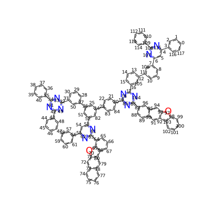 c1ccc(-c2cc(-c3cccc(-c4cccc(-c5nc(-c6ccc(-c7cc(-c8cccc(-c9nc(-c%10ccccc%10)nc(-c%10ccccc%10)n9)c8)cc(-c8cc(-c9ccccc9)nc(-c9cccc%10c9oc9cc%11ccccc%11cc9%10)n8)c7)cc6)nc(-c6ccc7cc8c(cc7c6)oc6ccccc68)n5)c4)c3)nc(-c3ccccc3)n2)cc1